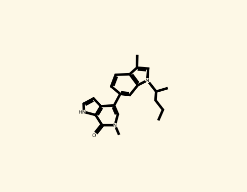 CCCC(C)n1cc(C)c2ccc(-c3cn(C)c(=O)c4[nH]ccc34)cc21